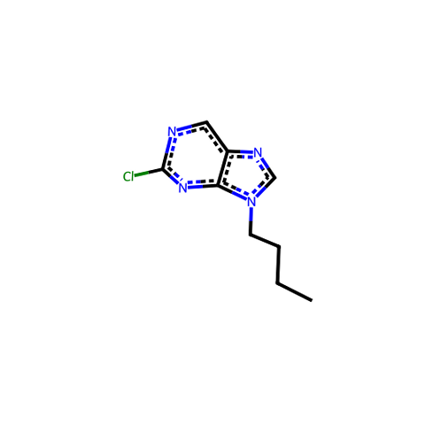 CCCCn1cnc2cnc(Cl)nc21